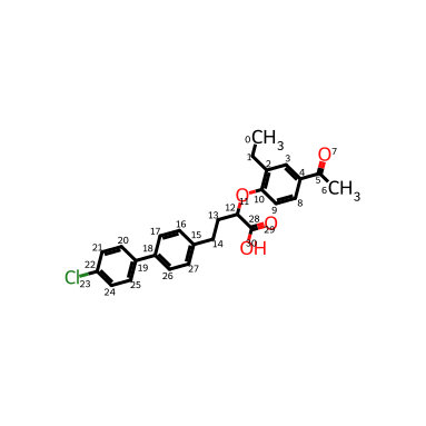 CCc1cc(C(C)=O)ccc1OC(CCc1ccc(-c2ccc(Cl)cc2)cc1)C(=O)O